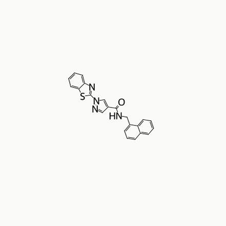 O=C(NCc1cccc2ccccc12)c1cnn(-c2nc3ccccc3s2)c1